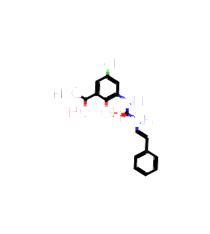 CC(O)c1cc(Cl)cc(NC(=O)NC=Cc2ccccc2)c1O